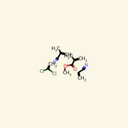 C=C(C)C#N.C=C(C)C(=O)OC.C=C(Cl)Cl.C=CC#N